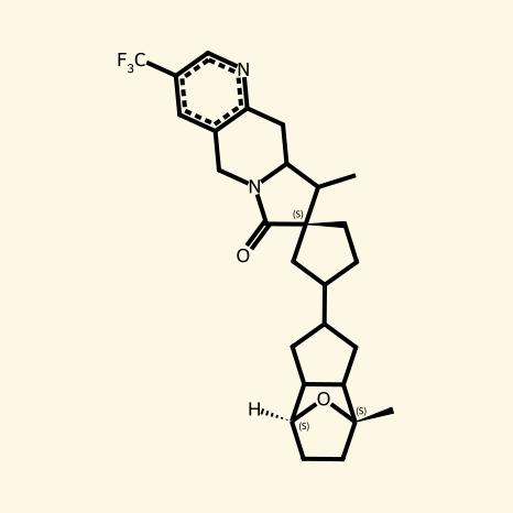 CC1C2Cc3ncc(C(F)(F)F)cc3CN2C(=O)[C@]12CCC(C1CC3C(C1)[C@]1(C)CC[C@@H]3O1)C2